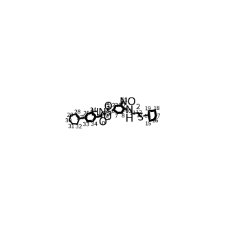 O=C(NS(=O)(=O)c1ccc(NCCSc2ccccc2)c([N+](=O)[O-])c1)c1ccc(C2=CCCCC2)cc1